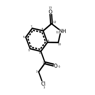 O=C(CCl)c1cccc2c1CNC2=O